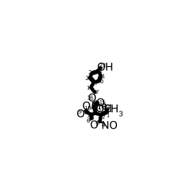 C/C=C1/[C@H](N=O)OC=C(C(=O)OC)[C@@]1(O)CC(=O)OCCc1ccc(O)cc1